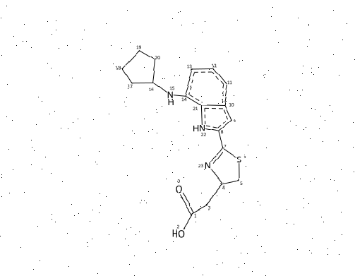 O=C(O)CC1CSC(c2cc3cccc(NC4CCCC4)c3[nH]2)=N1